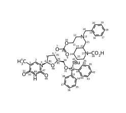 Cc1cn([C@H]2C[C@H](OC(=O)OCCN(Cc3ccccc3)CC3CCCCN3C(=O)O)[C@@H](CO[Si](c3ccccc3)(c3ccccc3)C(C)(C)C)O2)c(=O)[nH]c1=O